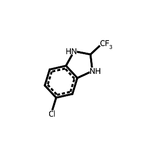 FC(F)(F)C1Nc2ccc(Cl)cc2N1